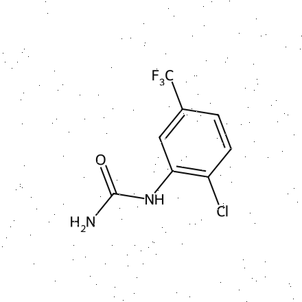 NC(=O)Nc1cc(C(F)(F)F)ccc1Cl